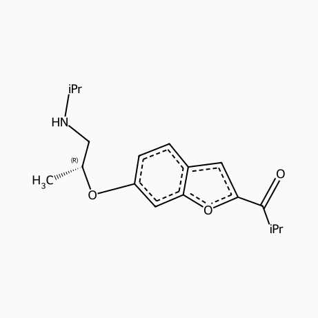 CC(C)NC[C@@H](C)Oc1ccc2cc(C(=O)C(C)C)oc2c1